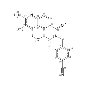 COCC(C)N(Cc1ccc(C#N)cn1)C(=O)c1ccc2nc(N)c(Br)cc2c1